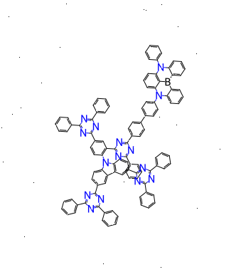 c1ccc(-c2nc(-c3ccccc3)nc(-c3ccc(-n4c5ccc(-c6nc(-c7ccccc7)nc(-c7ccccc7)n6)cc5c5cc(-c6nc(-c7ccccc7)nc(-c7ccccc7)n6)ccc54)c(-c4nc(-c5ccccc5)nc(-c5ccc(-c6ccc(N7c8ccccc8B8c9ccccc9N(c9ccccc9)c9cccc7c98)cc6)cc5)n4)c3)n2)cc1